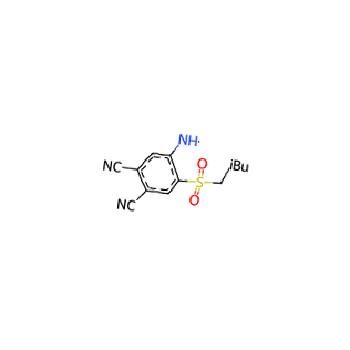 CCC(C)CS(=O)(=O)c1cc(C#N)c(C#N)cc1[NH]